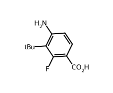 CC(C)(C)c1c(N)ccc(C(=O)O)c1F